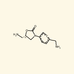 NCc1ccc(N2C[C@H](CN)OC2=O)cc1